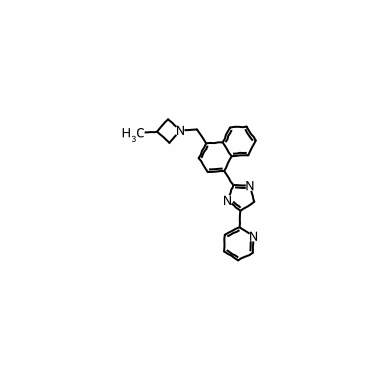 CC1CN(Cc2ccc(C3=NCC(c4ccccn4)=N3)c3ccccc23)C1